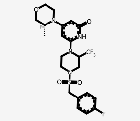 C[C@@H]1COCCN1c1cc(N2CCN(S(=O)(=O)Cc3ccc(F)cc3)CC2C(F)(F)F)[nH]c(=O)c1